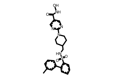 Cc1cccc(-c2ccccc2S(=O)(=O)NCC2CCN(c3ncc(C(=O)NO)cn3)CC2)c1